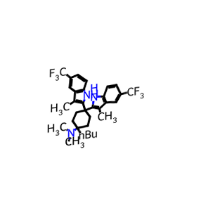 CCCCC1(N(C)C)CCC(c2[nH]c3ccc(C(F)(F)F)cc3c2C)(c2[nH]c3ccc(C(F)(F)F)cc3c2C)CC1